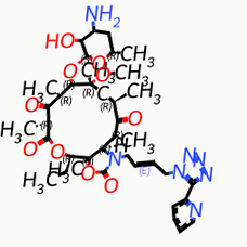 CC[C@H]1OC(=O)[C@H](C)C(=O)[C@H](C)[C@@H](O[C@@H]2O[C@H](C)CC(N)C2O)[C@](C)(OC)C[C@@H](C)C(=O)[C@H](C)[C@H]2N(C/C=C/Cn3nnnc3-c3ccccn3)C(=O)O[C@]12C